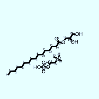 CCCCCCCCCCCCCCCC(=O)OCC(O)CO.C[N+](C)(C)CCOP(=O)(O)O